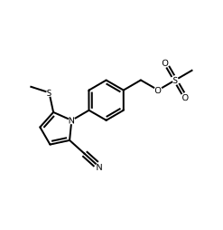 CSc1ccc(C#N)n1-c1ccc(COS(C)(=O)=O)cc1